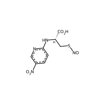 O=NSC[C@H](Nc1ccc([N+](=O)[O-])cn1)C(=O)O